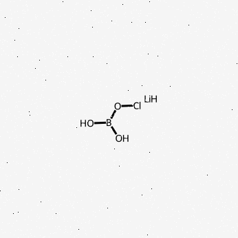 OB(O)OCl.[LiH]